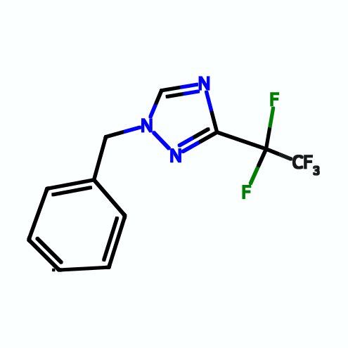 FC(F)(F)C(F)(F)c1ncn(Cc2cc[c]cc2)n1